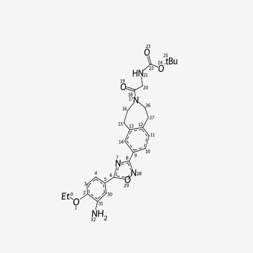 CCOc1ccc(-c2nc(-c3ccc4c(c3)CCN(C(=O)CNC(=O)OC(C)(C)C)CC4)no2)cc1N